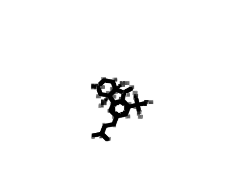 CC(C)CCc1cc2c(c(C(F)(F)F)c1)N(C)[C@@H]1CCNC[C@H]21